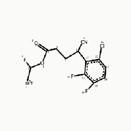 CCCC(F)OC(=O)CCC(C#N)c1c(Cl)ccc(F)c1F